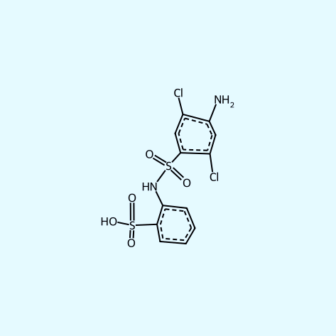 Nc1cc(Cl)c(S(=O)(=O)Nc2ccccc2S(=O)(=O)O)cc1Cl